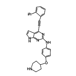 CC(C)c1ccccc1C#Cc1nc(Nc2ccc(OC3CCNCC3)cc2)nc2[nH]ccc12